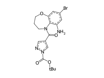 CC(C)(C)OC(=O)n1cc(C(=O)N2CCCOc3cc(Br)cc(N)c32)cn1